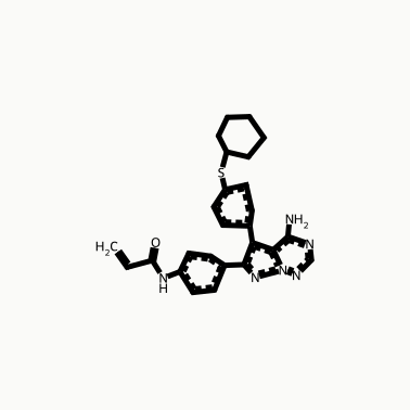 C=CC(=O)Nc1ccc(-c2nn3ncnc(N)c3c2-c2ccc(SC3CCCCC3)cc2)cc1